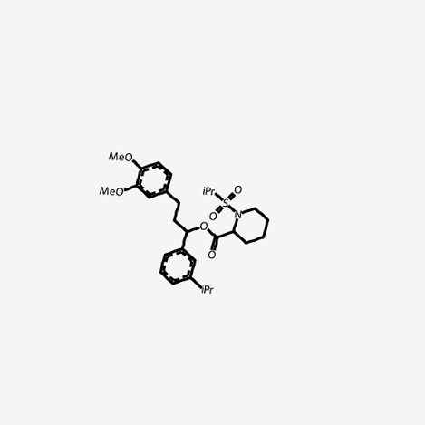 COc1ccc(CCC(OC(=O)C2CCCCN2S(=O)(=O)C(C)C)c2cccc(C(C)C)c2)cc1OC